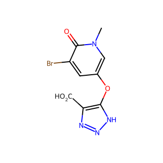 Cn1cc(Oc2[nH]nnc2C(=O)O)cc(Br)c1=O